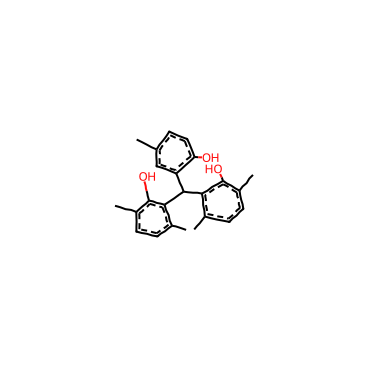 Cc1ccc(O)c(C(c2c(C)ccc(C)c2O)c2c(C)ccc(C)c2O)c1